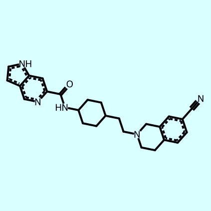 N#Cc1ccc2c(c1)CN(CCC1CCC(NC(=O)c3cc4[nH]ccc4cn3)CC1)CC2